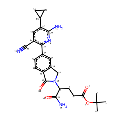 CC(C)(C)OC(=O)CCC(C(N)=O)N1Cc2cc(-c3nc(N)c(C4CC4)cc3C#N)ccc2C1=O